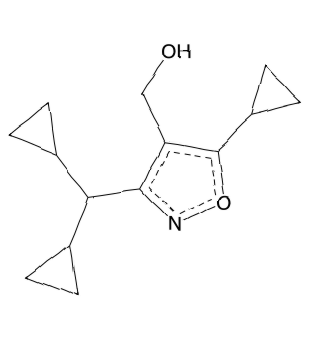 OCc1c(C(C2CC2)C2CC2)noc1C1CC1